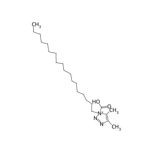 CCCCCCCCCCCCCCCCCC[N+]1(C(=O)O)N=NC(C)=C1C